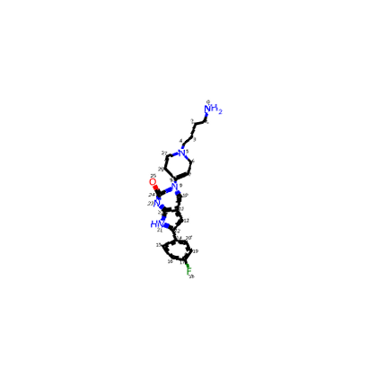 NCCCCN1CC=C(n2cc3cc(-c4ccc(F)cc4)[nH]c3nc2=O)CC1